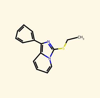 CCSc1nc(-c2ccccc2)c2ccccn12